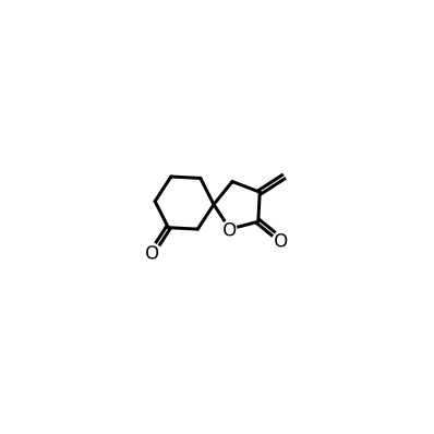 C=C1CC2(CCCC(=O)C2)OC1=O